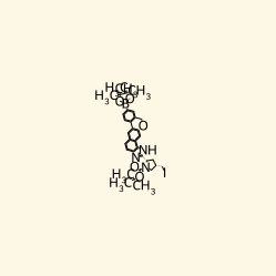 CC(C)(C)OC(=O)N1C[C@@H](CI)C[C@H]1c1nc2ccc3cc4c(cc3c2[nH]1)OCc1cc(B2OC(C)(C)C(C)(C)O2)ccc1-4